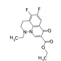 CCOC(=O)c1cn2c3c(c(F)c(F)cc3c1=O)CCN2CC